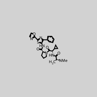 CN[C@@H](C)C(=O)N[C@H](C(=O)N1CCC[C@H]1C(=O)Nc1sc(-c2ncco2)nc1-c1ccccc1)C1CC1